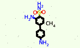 C.Nc1ccc(-c2ccc(S(N)(=O)=O)c(N)c2)cc1